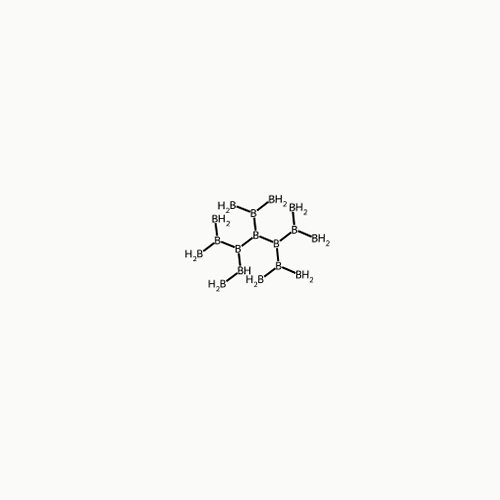 BBB(B(B)B)B(B(B)B)B(B(B)B)B(B)B